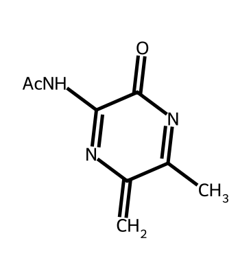 C=C1N=C(NC(C)=O)C(=O)N=C1C